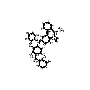 C=CC/C(CCC)=c1/cccc/c1=c1\cc(N2c3ccccc3Oc3cc4c(cc32)Sc2ccccc2C4(C)C)ccc1=C